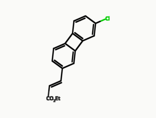 CCOC(=O)C=Cc1ccc2c(c1)-c1cc(Cl)ccc1-2